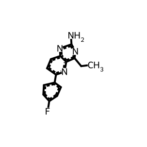 CCc1nc(N)nc2ccc(-c3ccc(F)cc3)nc12